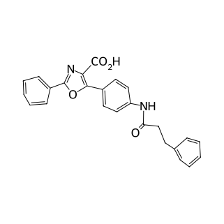 O=C(CCc1ccccc1)Nc1ccc(-c2oc(-c3ccccc3)nc2C(=O)O)cc1